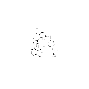 N#Cc1cccc(-n2cnc(-c3nc(NC4CCN(S(=O)(=O)C5CC5)CC4)ncc3C(F)(F)F)c2)c1C(F)(F)F